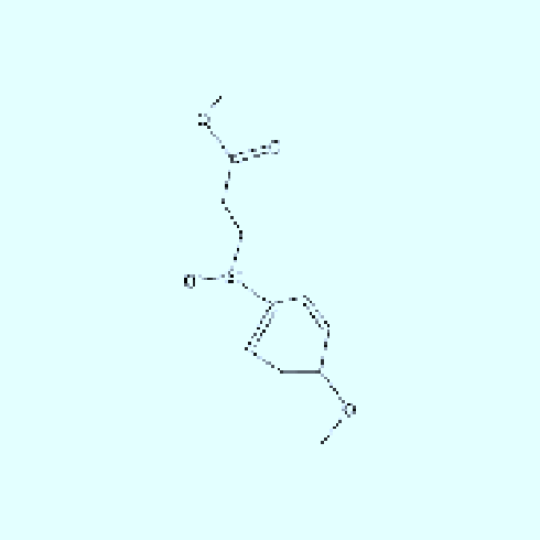 COC(=O)CC[S+]([O-])c1ccc(OC)cc1